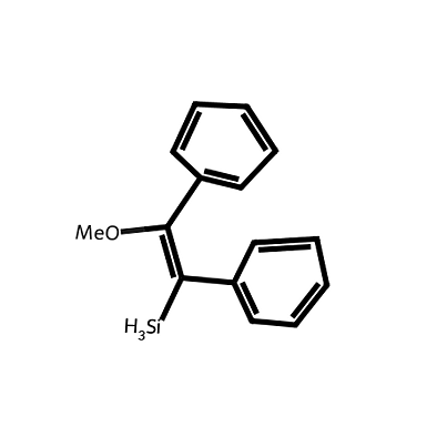 COC(=C([SiH3])c1ccccc1)c1ccccc1